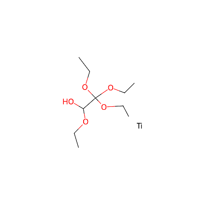 CCOC(O)C(OCC)(OCC)OCC.[Ti]